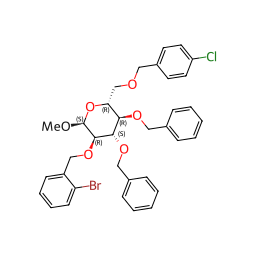 CO[C@H]1O[C@H](COCc2ccc(Cl)cc2)[C@@H](OCc2ccccc2)[C@H](OCc2ccccc2)[C@H]1OCc1ccccc1Br